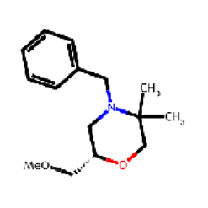 COC[C@@H]1CN(Cc2ccccc2)C(C)(C)CO1